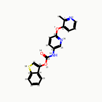 Cc1ncccc1Oc1ccc(NC(=O)Oc2csc3ccccc23)cn1